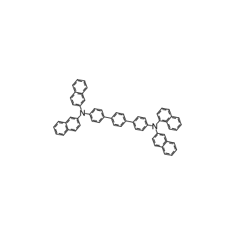 c1ccc2cc(N(c3ccc(-c4ccc(-c5ccc(N(c6ccc7ccccc7c6)c6cccc7ccccc67)cc5)cc4)cc3)c3ccc4ccccc4c3)ccc2c1